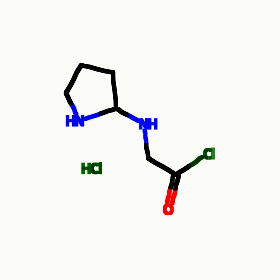 Cl.O=C(Cl)CNC1CCCN1